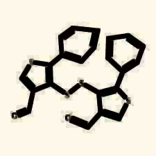 O=Cc1csc(-c2ccccc2)c1SSc1c(C=O)csc1-c1ccccc1